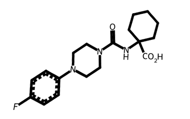 O=C(NC1(C(=O)O)CCCCC1)N1CCN(c2ccc(F)cc2)CC1